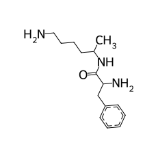 CC(CCCCN)NC(=O)C(N)Cc1ccccc1